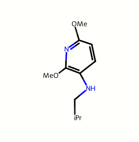 COc1ccc(NCC(C)C)c(OC)n1